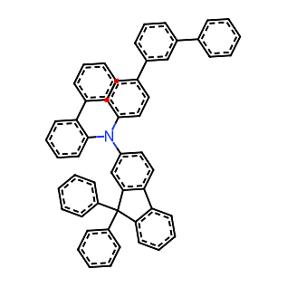 c1ccc(-c2cccc(-c3ccc(N(c4ccc5c(c4)C(c4ccccc4)(c4ccccc4)c4ccccc4-5)c4ccccc4-c4ccccc4)cc3)c2)cc1